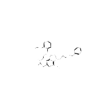 CC(Cc1cc(C#N)c2c(c1)CCN2CCCOCc1ccccc1)N(CCOc1ccccc1OCC(F)(F)F)C(=O)O